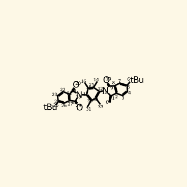 C=C1c2ccc(C(C)(C)C)cc2C(=O)N1c1c(C)c(C)c(N2C(=O)c3ccc(C(C)(C)C)cc3C2=O)c(C)c1C